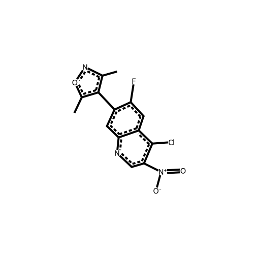 Cc1noc(C)c1-c1cc2ncc([N+](=O)[O-])c(Cl)c2cc1F